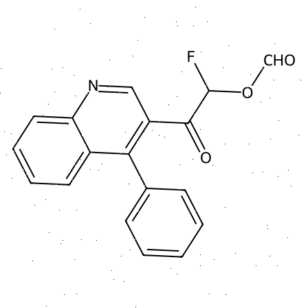 O=COC(F)C(=O)c1cnc2ccccc2c1-c1ccccc1